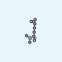 c1ccc(-c2nc(-c3ccccc3)nc(-c3cc(-c4ccc(-c5ccc(-c6ccc7c8ccccc8c8ccccc8c7c6)cc5)cc4)cc4sc5ccccc5c34)n2)cc1